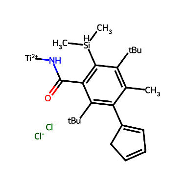 Cc1c(C2=CC=CC2)c(C(C)(C)C)c(C(=O)[NH][Ti+2])c([SiH](C)C)c1C(C)(C)C.[Cl-].[Cl-]